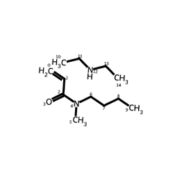 C=CC(=O)N(C)CCCC.CCNCC